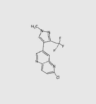 Cn1cc(-c2cnc3ccc(Cl)nc3c2)c(C(F)(F)F)n1